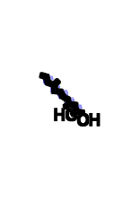 C/C=C/C(C)=C/C=C/C=C(C)/C=C(\O)CO